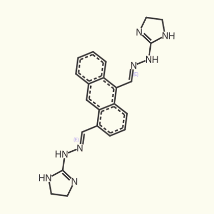 C(=N\NC1=NCCN1)/c1cccc2c(/C=N/NC3=NCCN3)c3ccccc3cc12